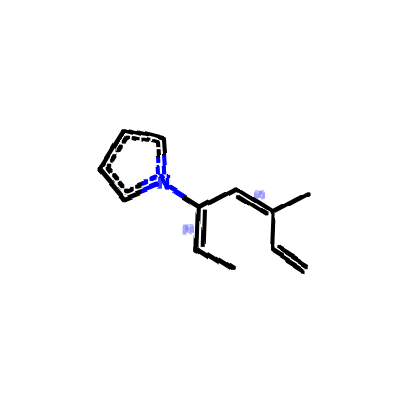 C=C/C(C)=C\C(=C/C)n1cccc1